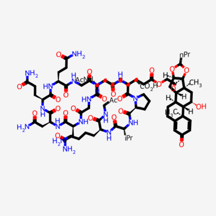 CCCC1O[C@@H]2C[C@H]3[C@@H]4CCC5=CC(=O)C=C[C@]5(C)[C@H]4[C@@H](O)C[C@]3(C)[C@]2(C(=O)COC(=O)CCCSSC[C@H](NC(C)=O)C(=O)NCC(=O)N[C@@H](CC(N)=O)C(=O)N[C@@H](CC(N)=O)C(=O)N[C@@H](CCC(N)=O)C(=O)N[C@@H](CCC(N)=O)C(=O)NCC(=O)NCC(=O)N[C@@H](CC(=O)O)C(=O)N2CCC[C@H]2C(=O)N[C@H](C(=O)N[C@@H](CCCCN)C(=O)NCC(C)=O)C(C)C)O1